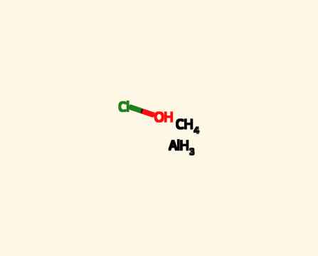 C.OCl.[AlH3]